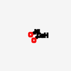 [O]=[GaH].[O]=[Ni]